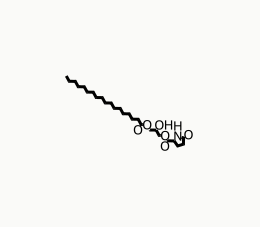 CCCCCCCCCCCCCCCCCC(=O)OCC(O)COC(=O)C1CCC(=O)N1